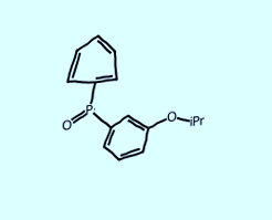 CC(C)Oc1cccc([P](=O)c2ccccc2)c1